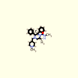 CNC(=O)N1C(C)CN(CC2CCN(C)CC2)C(c2ccccc2)C1(C)c1ccccc1